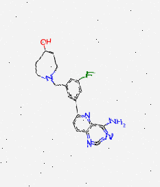 Nc1ncnc2ccc(-c3cc(F)cc(CN4CCC(O)CC4)c3)nc12